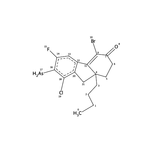 CCCCC12CCC(=O)C(Br)=C1c1cc(F)c([AsH2])c(Cl)c1C2